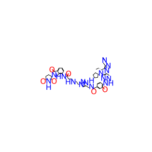 C=NCc1ncn2c1[C@@H](CC)N(C1CCCC1)c1nc(Nc3ccc(C(=O)NCc4cn(CCNCCC(=O)Nc5cccc6c5CN(C5CCC(=O)NC5=O)C6=O)nn4)cc3OC)ncc1-2